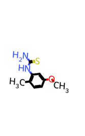 COc1ccc(C)c(NC(N)=S)c1